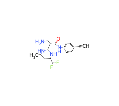 C#Cc1ccc(NC(=O)C(CN)C2NC(C)CC(C(F)F)N2)cc1